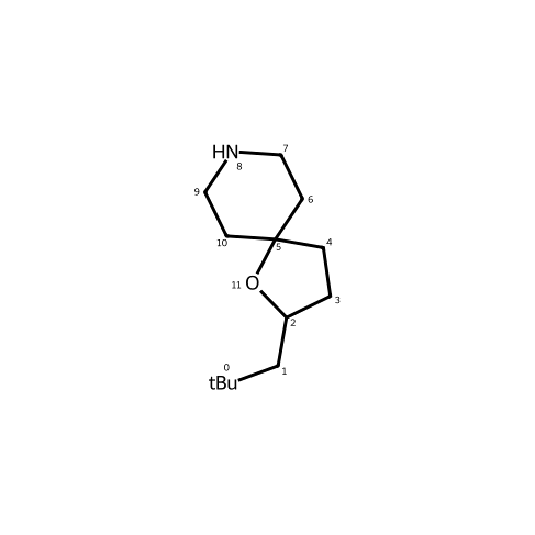 CC(C)(C)CC1CCC2(CCNCC2)O1